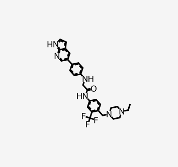 CCN1CCN(Cc2ccc(NC(=O)CNc3ccc(-c4cnc5[nH]ccc5c4)cc3)cc2C(F)(F)F)CC1